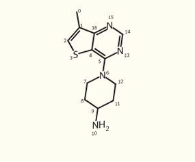 Cc1csc2c(N3CCC(N)CC3)ncnc12